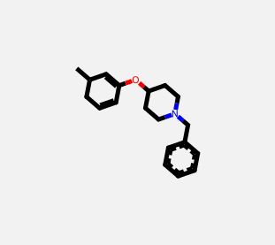 CC1C=C(OC2CCN(Cc3ccccc3)CC2)C=CC1